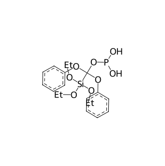 CCO[Si](OCC)(OCC)C(Oc1ccccc1)(Oc1ccccc1)OP(O)O